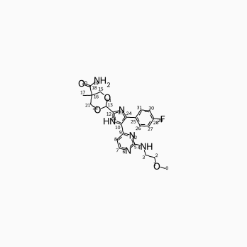 COCCNc1nccc(-c2[nH]c(C3OCC(C)(C(N)=O)CO3)nc2-c2ccc(F)cc2)n1